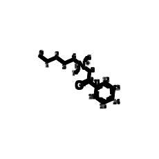 CCCCC[N+](C)(C)CC(=O)c1ccccc1